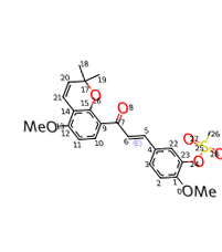 COc1ccc(/C=C/C(=O)c2ccc(OC)c3c2OC(C)(C)C=C3)cc1OS(C)(=O)=O